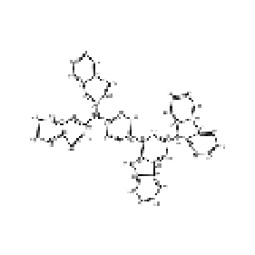 c1ccc2cc(N(c3ccc(-c4cc(-n5c6ccccc6c6ccccc65)cc5c4sc4ccccc45)cc3)c3ccc4ccccc4c3)ccc2c1